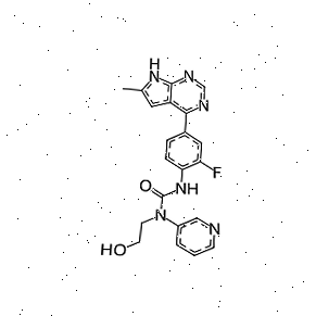 Cc1cc2c(-c3ccc(NC(=O)N(CCO)c4cccnc4)c(F)c3)ncnc2[nH]1